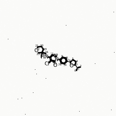 CC(C)[C@@H]1CC[C@H](c2ccc(-n3ncc(NCC4(F)CCCOC4)c(Cl)c3=O)cc2)O1